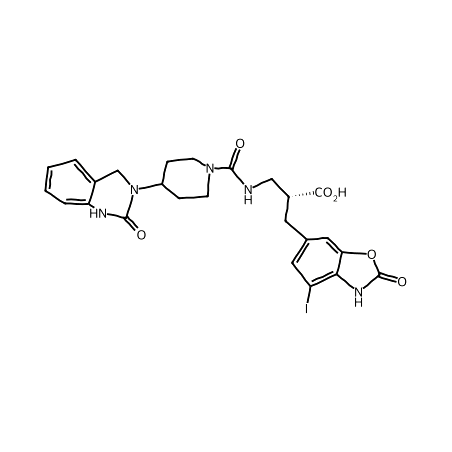 O=C(O)[C@@H](CNC(=O)N1CCC(N2Cc3ccccc3NC2=O)CC1)Cc1cc(I)c2[nH]c(=O)oc2c1